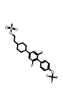 CS(=O)(=O)OCCC1CCC(c2cc(F)c(-c3ccc(OC(F)(F)F)cc3)c(F)c2)CC1